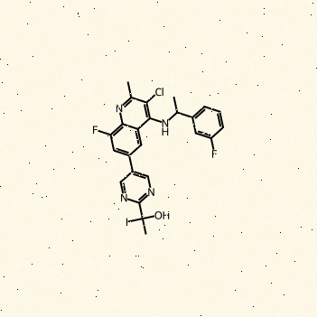 Cc1nc2c(F)cc(-c3cnc(C(C)(O)I)nc3)cc2c(NC(C)c2cccc(F)c2)c1Cl